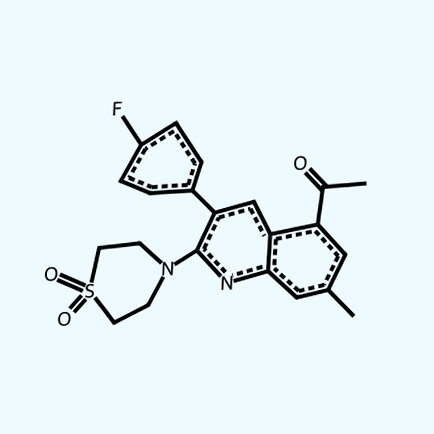 CC(=O)c1cc(C)cc2nc(N3CCS(=O)(=O)CC3)c(-c3ccc(F)cc3)cc12